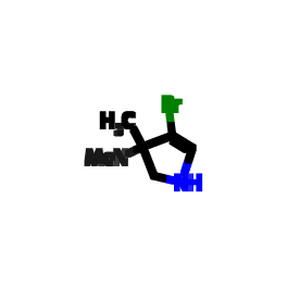 CNC1(C)CNC=C1Br